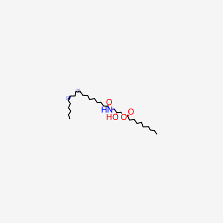 CCCCC/C=C\C/C=C\CCCCCCCC(=O)NCC(O)COC(=O)CCCCCCCCC